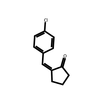 O=C1CCC/C1=C/c1ccc(Cl)cc1